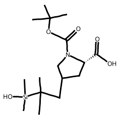 CC(C)(C)OC(=O)N1CC(CC(C)(C)[Si](C)(C)O)C[C@H]1C(=O)O